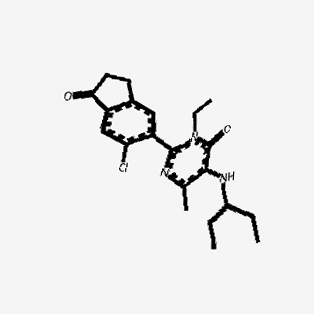 CCC(CC)Nc1c(C)nc(-c2cc3c(cc2Cl)C(=O)CC3)n(CC)c1=O